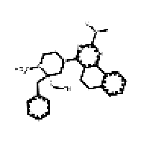 C[S+]([O-])c1nc2c(c(N3CCN(C(=O)O)[C@](CC#N)(Cc4ccccc4)C3)n1)CCc1ccccc1-2